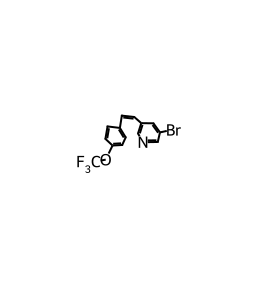 FC(F)(F)Oc1ccc(/C=C\c2cncc(Br)c2)cc1